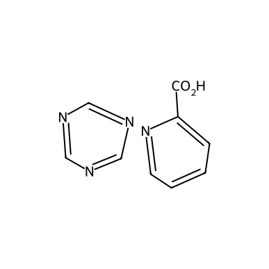 O=C(O)c1ccccn1.c1ncncn1